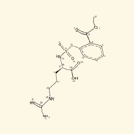 COC(=O)c1ccccc1CS(=O)(=O)N[C@H](CCCNC(=N)N)C(=O)O